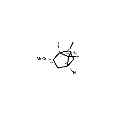 CO[C@H]1C[C@@H]2CN(C)[C@H]1[C@@H]2N